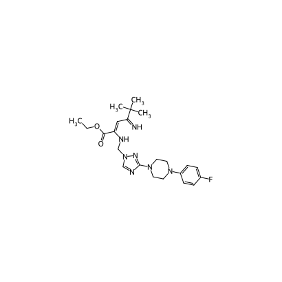 CCOC(=O)/C(=C/C(=N)C(C)(C)C)NCn1cnc(N2CCN(c3ccc(F)cc3)CC2)n1